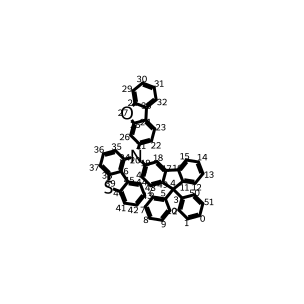 c1ccc(C2(c3ccccc3)c3ccccc3-c3cc(N(c4ccc5c(c4)oc4ccccc45)c4cccc5sc6ccccc6c45)ccc32)cc1